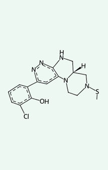 CSN1CCN2c3cc(-c4cccc(Cl)c4O)nnc3NC[C@@H]2C1